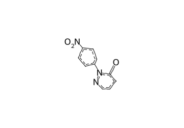 O=c1cccnn1-c1ccc([N+](=O)[O-])cc1